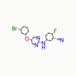 N#Cc1cc(Nc2ncc(Oc3cccc(Br)c3)cn2)ccc1F